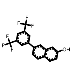 Oc1ccc2ccc(-c3cc(C(F)(F)F)cc(C(F)(F)F)c3)cc2c1